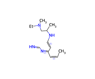 C\C=C/C(/C=C/NC(C)CN(C)CC)=N/C=N